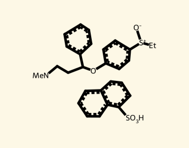 CC[S+]([O-])c1ccc(OC(CCNC)c2ccccc2)cc1.O=S(=O)(O)c1cccc2ccccc12